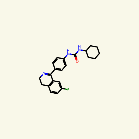 O=C(Nc1ccc(C2=NCCc3ccc(F)cc32)cc1)NC1CCCCC1